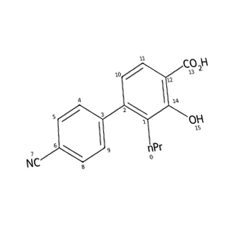 CCCc1c(-c2ccc(C#N)cc2)ccc(C(=O)O)c1O